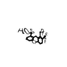 O=Cc1c(C(F)(F)F)ccc(Cl)c1Cc1ccccc1C(O)=S